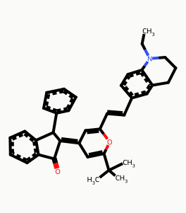 CCN1CCCc2cc(C=CC3=C/C(=C4/C(=O)c5ccccc5C4c4ccccc4)C=C(C(C)(C)C)O3)ccc21